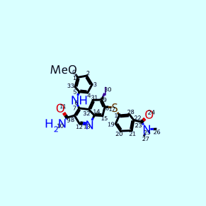 COc1cccc(Nc2c(C(N)=O)cnc3cc(Sc4cccc(C(=O)N(C)C)c4)c(I)cc23)c1